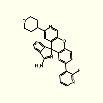 NC1=NC2(c3cc(-c4cccnc4F)ccc3Oc3cnc(C4CCOCC4)cc32)c2ccccc21